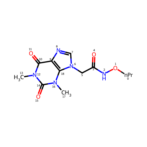 CCCONC(=O)Cn1cnc2c(=O)n(C)c(=O)n(C)c21